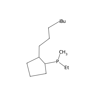 CCC(C)CCCC1CCCC1P(C)CC